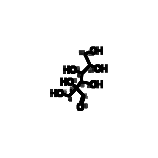 O=CC(O)(CO)C(O)C(O)C(O)CO